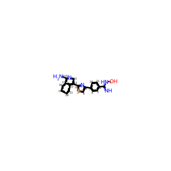 N=C(NO)c1ccc(-c2csc(-c3cnc(N)c4ccccc34)n2)cc1